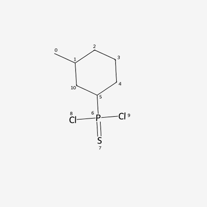 CC1CCCC(P(=S)(Cl)Cl)C1